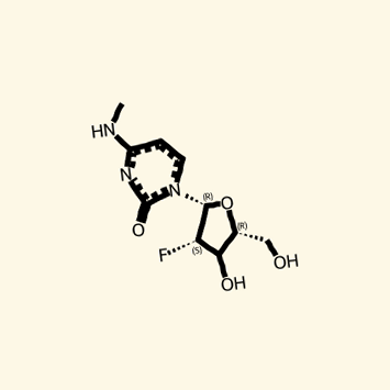 CNc1ccn([C@@H]2O[C@H](CO)C(O)[C@@H]2F)c(=O)n1